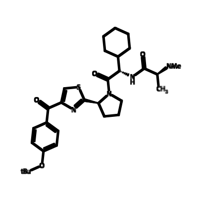 CN[C@@H](C)C(=O)N[C@H](C(=O)N1CCC[C@H]1c1nc(C(=O)c2ccc(OC(C)(C)C)cc2)cs1)C1CCCCC1